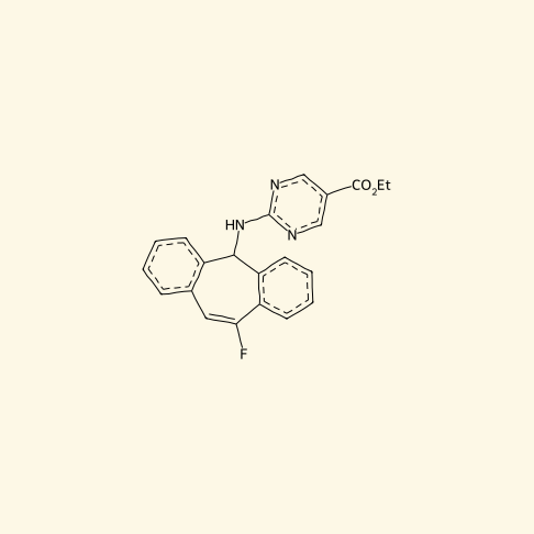 CCOC(=O)c1cnc(NC2c3ccccc3C=C(F)c3ccccc32)nc1